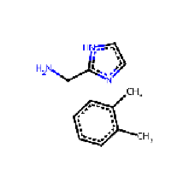 Cc1ccccc1C.NCc1ncc[nH]1